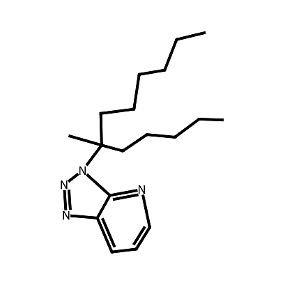 CCCCCCC(C)(CCCCC)n1nnc2cccnc21